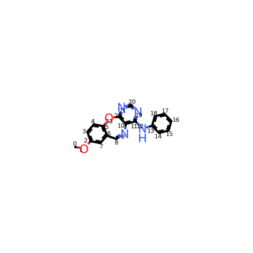 COc1ccc2c(c1)C=Nc1c(Nc3ccccc3)ncnc1O2